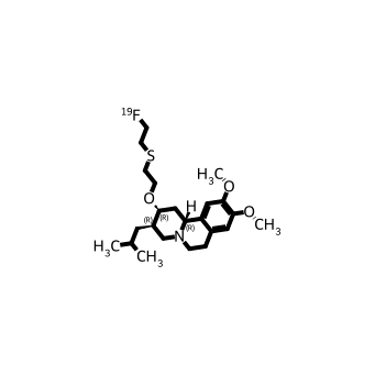 COc1cc2c(cc1OC)[C@H]1C[C@@H](OCCSCC[19F])[C@H](CC(C)C)CN1CC2